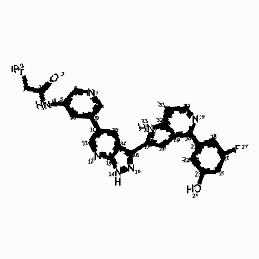 CC(C)CC(=O)Nc1cncc(-c2cnc3[nH]nc(-c4cc5c(-c6cc(O)cc(F)c6)nccc5[nH]4)c3c2)c1